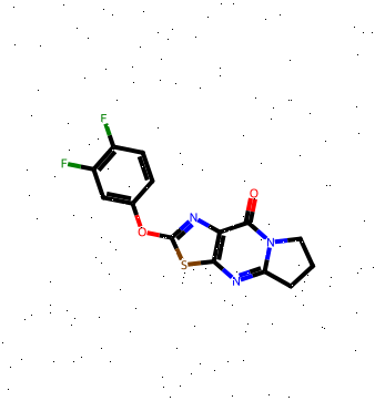 O=c1c2nc(Oc3ccc(F)c(F)c3)sc2nc2n1CCC2